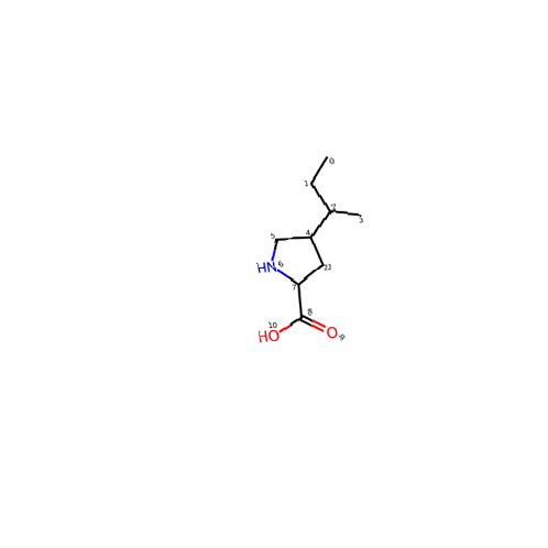 CCC(C)C1CNC(C(=O)O)C1